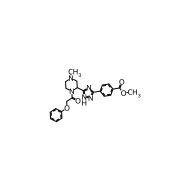 COC(=O)c1ccc(-c2n[nH]c(C3CN(C)CCN3C(=O)COc3ccccc3)n2)cc1